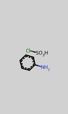 Nc1ccccc1.O=S(=O)(O)Cl